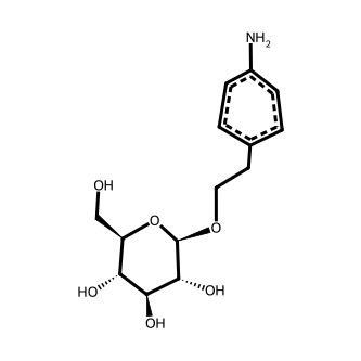 Nc1ccc(CCO[C@@H]2O[C@H](CO)[C@@H](O)[C@H](O)[C@H]2O)cc1